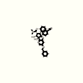 CN(C)C(=O)[C@H]1[C@@H](O)[C@@]2(O)c3ncc(OCc4ccccc4)cc3O[C@@]2(c2ccc(C#N)cc2)[C@@H]1c1ccccc1